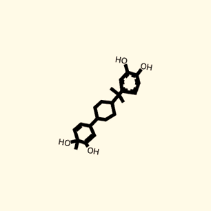 CC1(O)C=CC(C2CCC(C(C)(C)c3ccc(O)c(O)c3)CC2)C=C1O